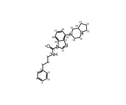 O=C(NCCCc1ccccc1)n1cnc2c(N3CCN4CCCC4C3)cccc21